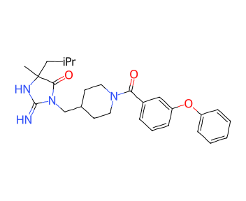 CC(C)CC1(C)NC(=N)N(CC2CCN(C(=O)c3cccc(Oc4ccccc4)c3)CC2)C1=O